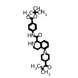 CN(C)C(=O)C1CCN(c2cccc3c2CCNC3C(=O)Nc2ccc(C(=O)OC(C)(C)C)cc2)CC1